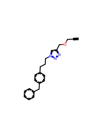 C#CCOCc1cn(CCCc2ccc(Cc3ccccc3)cc2)nn1